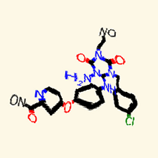 NN1C(=O)N(CCN=O)C(=O)N(Cc2ccc(Cl)cc2)C1Nc1ccc(Oc2ccnc(C(=O)N=O)c2)cc1